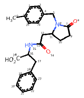 Cc1ccc(CN2C(=O)CCC2CC(=O)NC(Cc2ccccc2)C(=O)O)cc1